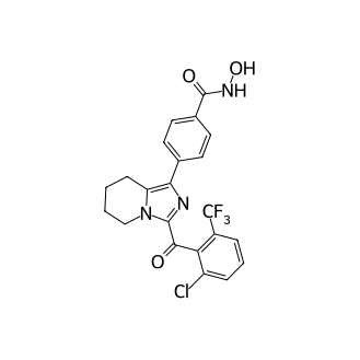 O=C(NO)c1ccc(-c2nc(C(=O)c3c(Cl)cccc3C(F)(F)F)n3c2CCCC3)cc1